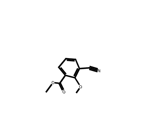 COC(=O)c1cccc(C#N)c1OC